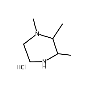 CC1NCCN(C)C1C.Cl